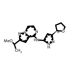 COC(C)c1cc2c(Nc3cc([C@H]4C[CH]CO4)n[nH]3)nccn2n1